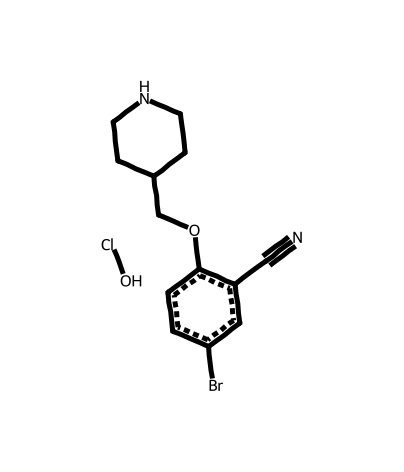 N#Cc1cc(Br)ccc1OCC1CCNCC1.OCl